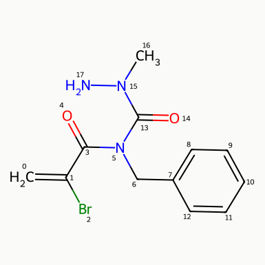 C=C(Br)C(=O)N(Cc1ccccc1)C(=O)N(C)N